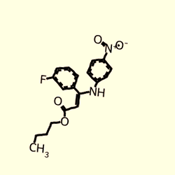 CCCCOC(=O)/C=C(/Nc1ccc([N+](=O)[O-])cc1)c1cccc(F)c1